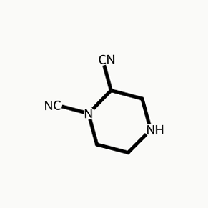 N#CC1CNCCN1C#N